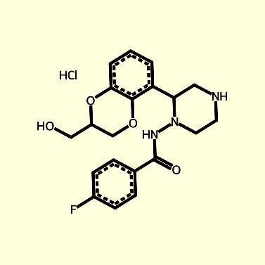 Cl.O=C(NN1CCNCC1c1cccc2c1OCC(CO)O2)c1ccc(F)cc1